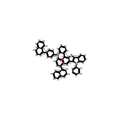 c1ccc(-n2c3ccccc3c3sc4c(-c5ccccc5N(c5ccc(-c6cccc7ccccc67)cc5)c5ccc(-c6cccc7ccccc67)cc5)cccc4c32)cc1